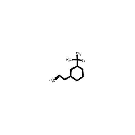 [CH2]C(C)(CC)C1CCCC(CC=C)C1